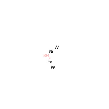 B.[Fe].[Ni].[W].[W]